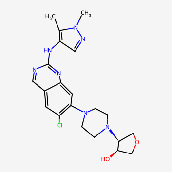 Cc1c(Nc2ncc3cc(Cl)c(N4CCN([C@H]5COC[C@H]5O)CC4)cc3n2)cnn1C